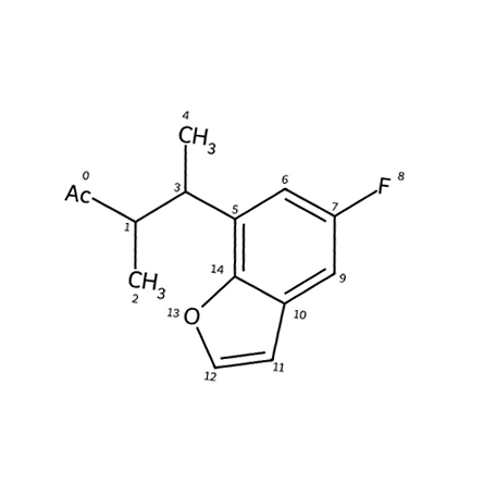 CC(=O)C(C)C(C)c1cc(F)cc2ccoc12